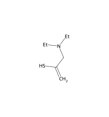 C=C(S)CN(CC)CC